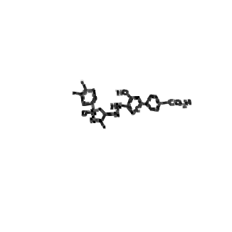 CC1=N[N+]([O-])(c2ccc(C)c(C)c2)C/C1=N\Nc1ccc(-c2ccc(C(=O)O)cc2)cc1O